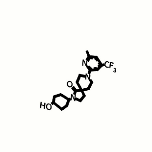 Cc1cc(C(F)(F)F)cc(N2CCC3(CC2)CCN(C2CCC(O)CC2)C3=O)n1